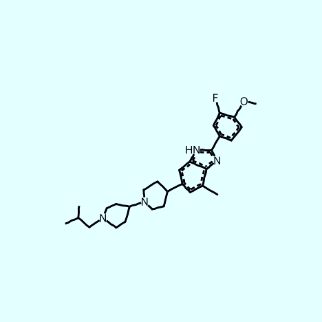 COc1ccc(-c2nc3c(C)cc(C4CCN(C5CCN(CC(C)C)CC5)CC4)cc3[nH]2)cc1F